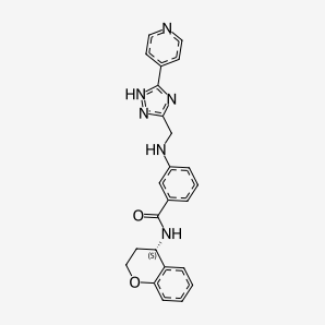 O=C(N[C@H]1CCOc2ccccc21)c1cccc(NCc2n[nH]c(-c3ccncc3)n2)c1